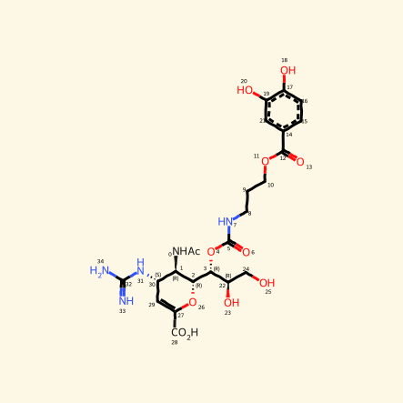 CC(=O)N[C@H]1[C@H]([C@H](OC(=O)NCCCOC(=O)c2ccc(O)c(O)c2)[C@H](O)CO)OC(C(=O)O)=C[C@@H]1NC(=N)N